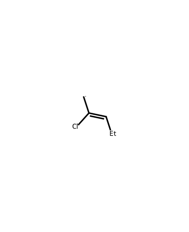 [CH2]/C(Cl)=C/CC